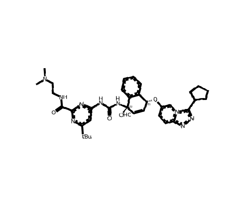 CN(C)CCNC(=O)c1nc(NC(=O)N[C@@]2(C=O)C=C[C@@H](Oc3ccc4nnc(C5CCCC5)n4c3)c3ccccc32)cc(C(C)(C)C)n1